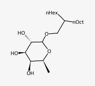 CCCCCCCCC(CCCCCC)COC1O[C@@H](C)[C@@H](O)[C@@H](O)[C@@H]1O